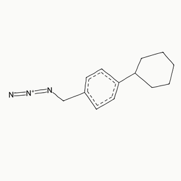 [N-]=[N+]=NCc1ccc(C2CCCCC2)cc1